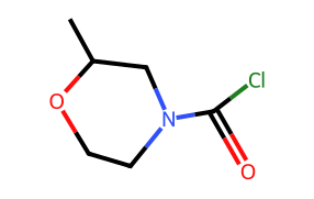 CC1CN(C(=O)Cl)CCO1